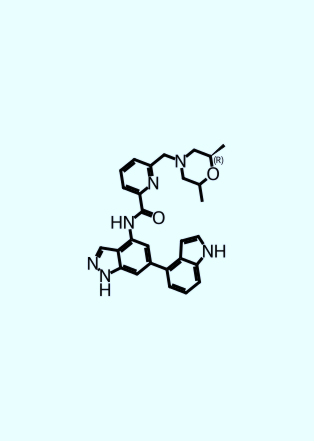 CC1CN(Cc2cccc(C(=O)Nc3cc(-c4cccc5[nH]ccc45)cc4[nH]ncc34)n2)C[C@@H](C)O1